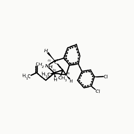 C=C(C)C[C@@H]1N[C@H]2CC(C)(C)[C@@H]1c1c(-c3ccc(Cl)c(Cl)c3)cccc12